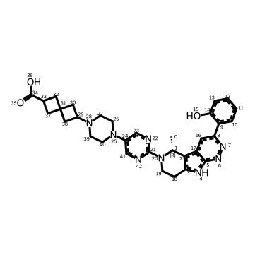 C[C@@H]1c2c([nH]c3nnc(-c4ccccc4O)cc23)CCN1c1ncc(N2CCN(C3CC4(CC(C(=O)O)C4)C3)CC2)cn1